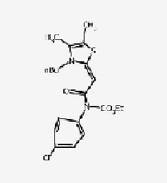 CCCCN1C(=CC(=O)N(C(=O)OCC)c2ccc(Cl)cc2)SC(C)=C1C